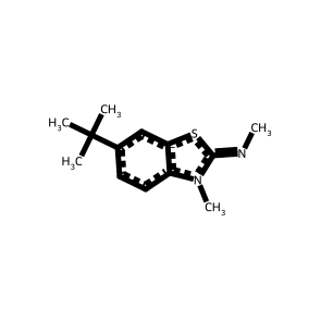 C/N=c1\sc2cc(C(C)(C)C)ccc2n1C